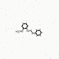 COc1ccccc1OCCc1ccccc1